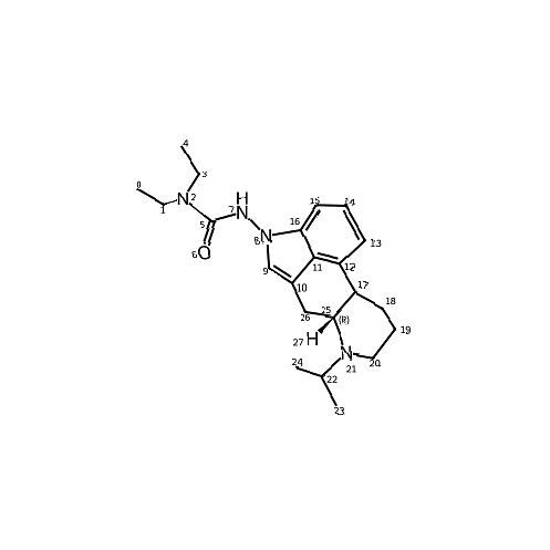 CCN(CC)C(=O)Nn1cc2c3c(cccc31)C1CCCN(C(C)C)[C@@H]1C2